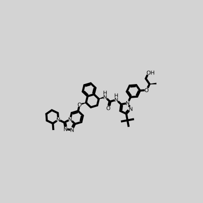 CC1CCCCN1c1nnc2ccc(O[C@@H]3CC[C@H](NC(=O)Nc4cc(C(C)(C)C)nn4-c4cccc(O[C@H](C)CO)c4)c4ccccc43)cn12